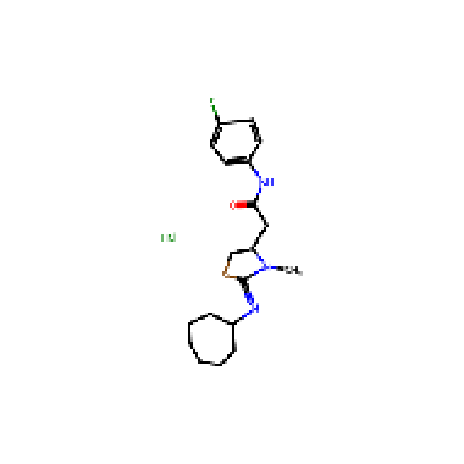 CN1/C(=N/C2CCCCCC2)SCC1CC(=O)Nc1ccc(F)cc1.Cl